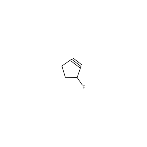 FC1C#CCC1